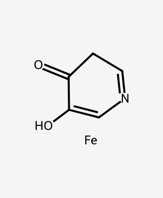 O=C1CC=NC=C1O.[Fe]